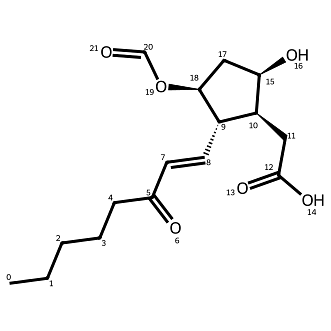 CCCCCC(=O)C=C[C@H]1[C@H](CC(=O)O)[C@H](O)C[C@@H]1OC=O